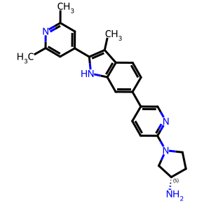 Cc1cc(-c2[nH]c3cc(-c4ccc(N5CC[C@H](N)C5)nc4)ccc3c2C)cc(C)n1